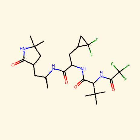 CC(CC1CC(C)(C)NC1=O)NC(=O)C(CC1CC1(F)F)NC(=O)C(NC(=O)C(F)(F)F)C(C)(C)C